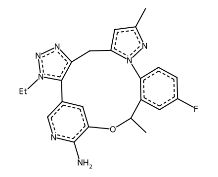 CCn1nnc2c1-c1cnc(N)c(c1)OC(C)c1cc(F)ccc1-n1nc(C)cc1C2